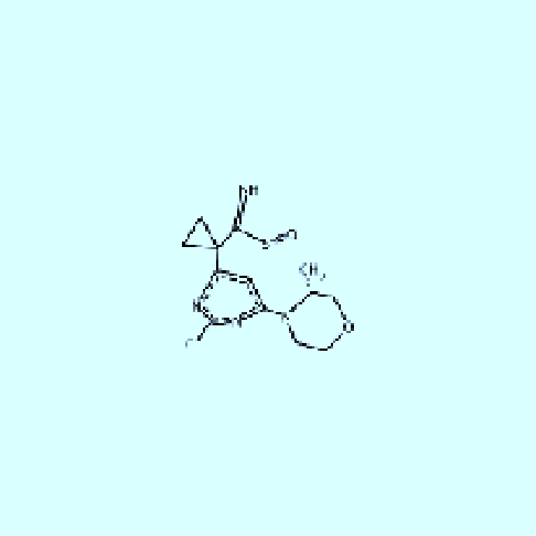 C[C@@H]1COCCN1c1cc(C2(C(=N)[S+]=O)CC2)nc(Cl)n1